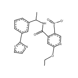 CCOc1cc(C(=O)NC(C)c2cccc(-c3nccs3)c2)c([N+](=O)[O-])cn1